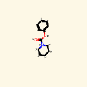 O=C(Oc1ccccc1)N1CCCCC1